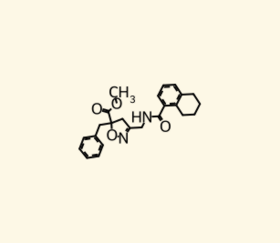 COC(=O)C1(Cc2ccccc2)CC(CNC(=O)c2cccc3c2CCCC3)=NO1